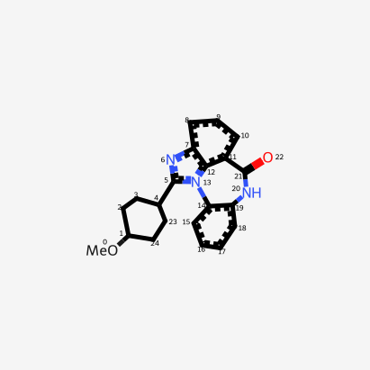 COC1CCC(c2nc3cccc4c3n2-c2ccccc2NC4=O)CC1